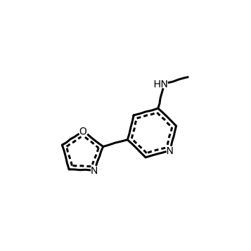 CNc1cncc(-c2ncco2)c1